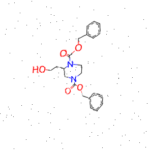 O=C(OCc1ccccc1)N1CCN(C(=O)OCc2ccccc2)C(CCO)C1